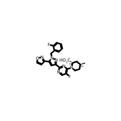 C[C@H]1CCN(c2nc(-c3cc(-c4ccon4)n(Cc4ccccc4F)n3)ncc2F)[C@H](C(=O)O)C1